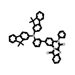 CC1(C)c2ccccc2-c2ccc(N(c3cccc(-c4ccc5c(c4)n4c(=O)c6ccccc6nc4c(=O)n5-c4ccccc4)c3)c3ccc4c(c3)C(C)(C)c3ccccc3-4)cc21